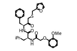 COc1ccccc1OCC(=O)N[C@@H](CC(C)C)C(=O)N[C@@H](Cc1ccccc1)C(=O)CSCc1ccco1